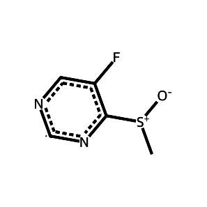 C[S+]([O-])c1n[c]ncc1F